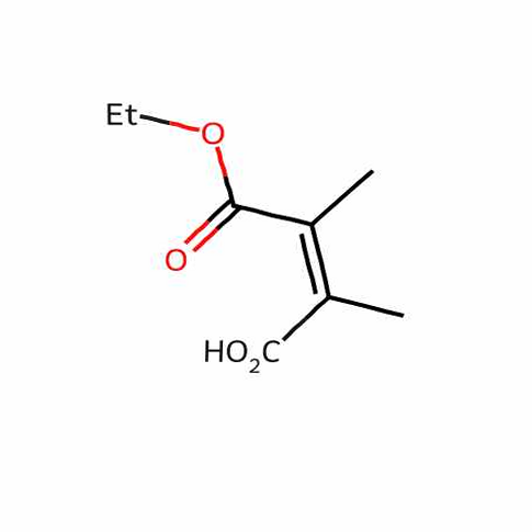 CCOC(=O)/C(C)=C(/C)C(=O)O